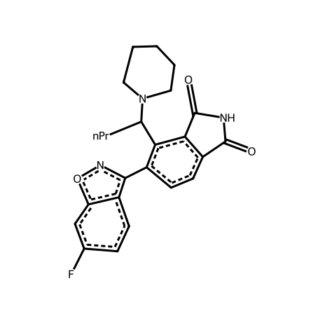 CCCC(c1c(-c2noc3cc(F)ccc23)ccc2c1C(=O)NC2=O)N1CCCCC1